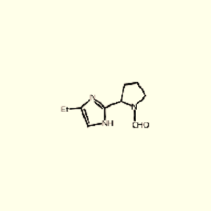 CCc1c[nH]c(C2CCCN2C=O)n1